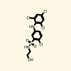 O=S(=O)(NCCO)c1cc(Nc2c(Cl)cc(Cl)cc2Cl)ccc1Cl